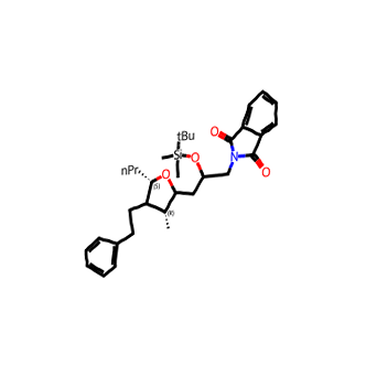 CCC[C@@H]1OC(CC(CN2C(=O)c3ccccc3C2=O)O[Si](C)(C)C(C)(C)C)[C@H](C)C1CCc1ccccc1